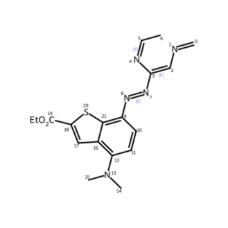 C=N/C=C(\N=C/C)/N=N/c1ccc(N(C)C)c2cc(C(=O)OCC)sc12